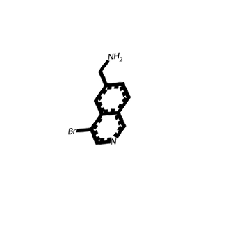 NCc1ccc2cncc(Br)c2c1